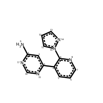 Nc1cc(-c2cccnc2-n2cccn2)ncn1